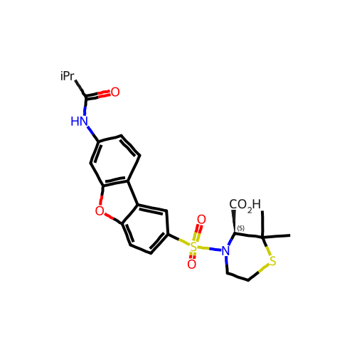 CC(C)C(=O)Nc1ccc2c(c1)oc1ccc(S(=O)(=O)N3CCSC(C)(C)[C@@H]3C(=O)O)cc12